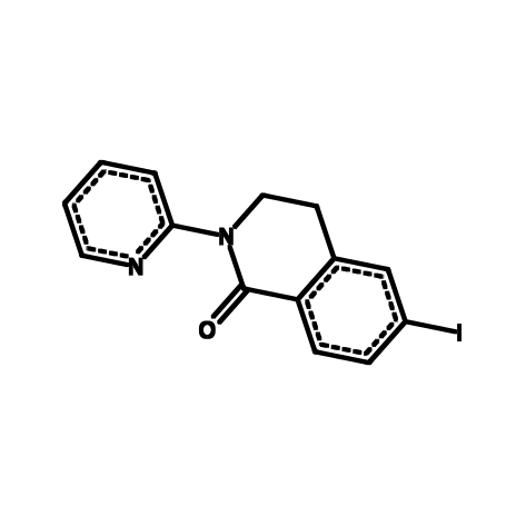 O=C1c2ccc(I)cc2CCN1c1ccccn1